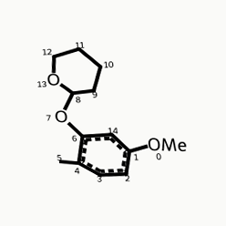 COc1ccc(C)c(OC2CCCCO2)c1